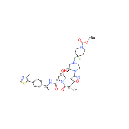 Cc1ncsc1-c1ccc([C@H](C)NC(=O)[C@@H]2C[C@@H](O)CN2C(=O)[C@H](c2cc(N3CCN(CC4(F)CCN(C(=O)OC(C)(C)C)CC4)C[C@@H]3C)no2)C(C)C)cc1